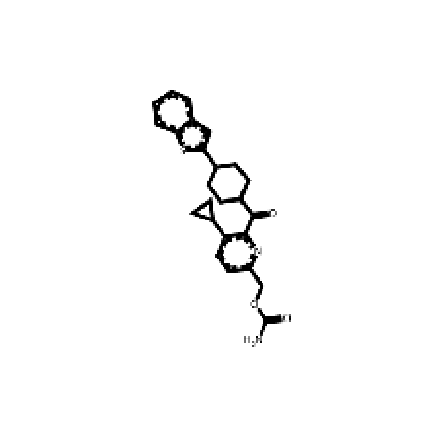 NC(=O)OCc1ccc(C2CC2)c(C(=O)C2CCC(c3cc4ccccc4s3)CC2)n1